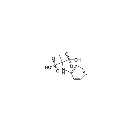 CC(Nc1cc[c]cc1)(S(=O)(=O)O)S(=O)(=O)O